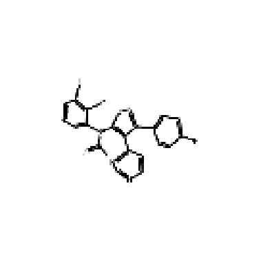 CC(=O)N(c1cccc(F)c1Cl)c1onc(-c2ccc(F)cc2)c1-c1ccncn1